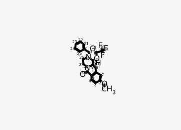 COc1ccc2c(c1)C[C@@H]1C(OC(=O)C(F)(F)F)N(Cc3ccccc3)CCN1C2=O